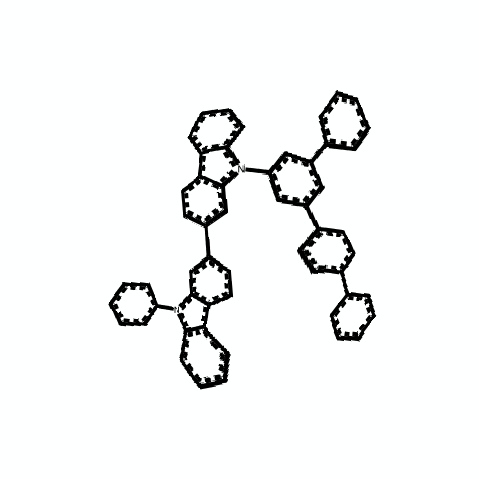 c1ccc(-c2ccc(-c3cc(-c4ccccc4)cc(-n4c5ccccc5c5ccc(-c6ccc7c8ccccc8n(-c8ccccc8)c7c6)cc54)c3)cc2)cc1